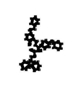 O=C(N[C@@H](COc1cc(OCc2ccccc2)ccc1Br)c1ccc(OC2CCCCO2)cc1)OCC1c2ccccc2-c2ccccc21